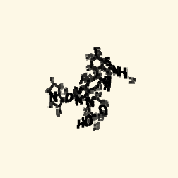 C[C@H]1CN2CCC[C@@]2(COc2nc(N3CCOC[C@@](C)(O)C3)c3cc(Cl)c(-c4ccc(F)c5sc(N)c(C#N)c45)c(F)c3n2)C1